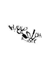 C#CC(CO)(OC(C)n1ccc(N)nc1=O)C(O)CC